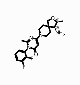 Cc1nc(N2CCC3(CC2)CO[C@@H](C)[C@H]3N)cc(=O)n1-c1cccc(F)c1F